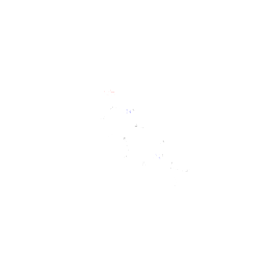 Oc1ccc2c(n1)CCN(C1CC1)CC2